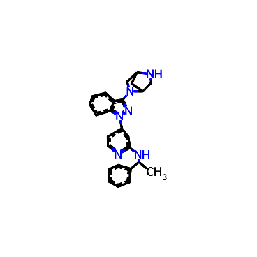 CC(Nc1cc(-n2nc(N3CC4CC3CN4)c3ccccc32)ccn1)c1ccccc1